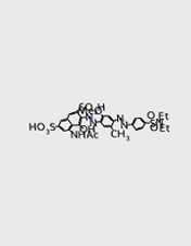 CCN(CC)S(=O)(=O)c1ccc(/N=N/c2cc(OC)c(/N=N/c3c(S(=O)(=O)O)cc4cc(S(=O)(=O)O)cc(NC(C)=O)c4c3O)cc2C)cc1